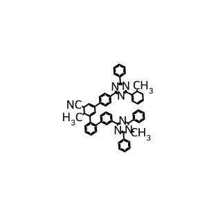 CC1CC=CC=C1c1nc(-c2ccccc2)nc(-c2ccc(C3=CC(C#N)C(C)C(c4ccccc4-c4cccc(C5=NC(c6ccccc6)N(C)C(c6ccccc6)=N5)c4)=C3)cc2)n1